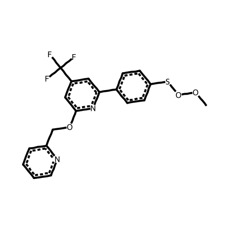 COOSc1ccc(-c2cc(C(F)(F)F)cc(OCc3ccccn3)n2)cc1